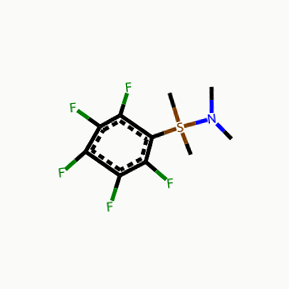 CN(C)S(C)(C)c1c(F)c(F)c(F)c(F)c1F